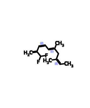 C=C(/C=C\C=C(/C)C/C(C)=C\C)C(F)F